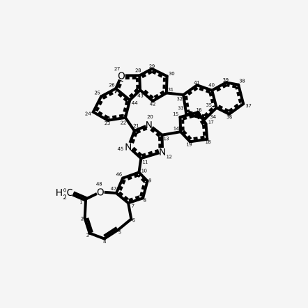 C=C1/C=C\C=C/Cc2ccc(-c3nc(-c4ccccc4)nc(-c4cccc5oc6ccc(-c7ccc8ccccc8c7)cc6c45)n3)cc2O1